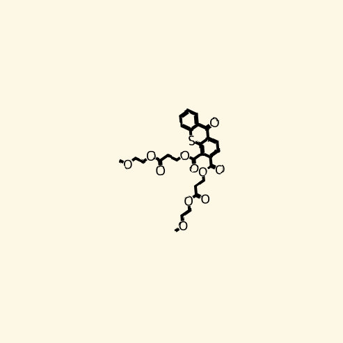 COCCOC(=O)CCOC(=O)c1ccc2c(=O)c3ccccc3sc2c1C(=O)OCCC(=O)OCCOC